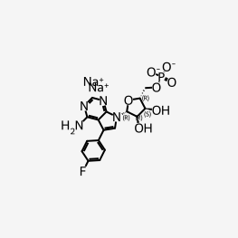 Nc1ncnc2c1c(-c1ccc(F)cc1)cn2[C@@H]1O[C@H](COP(=O)([O-])[O-])[C@@H](O)[C@H]1O.[Na+].[Na+]